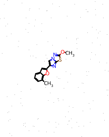 COc1nn2cc(-c3cc4cccc(C)c4o3)nc2s1